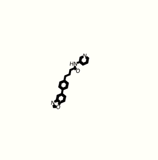 O=C(CCCc1ccc(-c2ccc3ocnc3c2)cc1)Nc1cccnc1